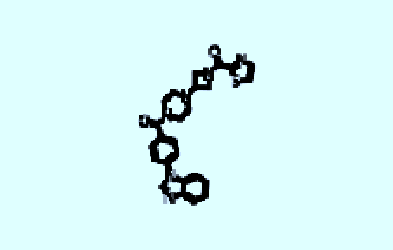 O=C(c1ccc(-n2cnc3ccccc32)cc1)N1CCN(C2CN(C(=O)c3nccs3)C2)CC1